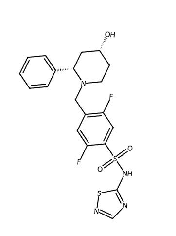 O=S(=O)(Nc1ncns1)c1cc(F)c(CN2CC[C@@H](O)C[C@H]2c2ccccc2)cc1F